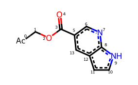 CC(=O)COC(=O)c1cnc2[nH]ccc2c1